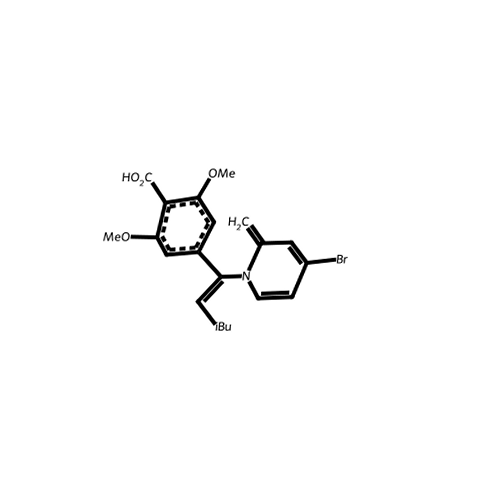 C=C1C=C(Br)C=CN1/C(=C\C(C)CC)c1cc(OC)c(C(=O)O)c(OC)c1